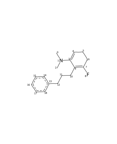 CN(C)C1=CC[CH]C(F)=C1CCCc1ccccc1